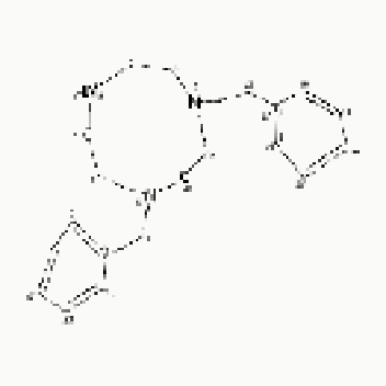 c1ccc(CN2CCNCCN(Cc3ccccc3)CC2)cc1